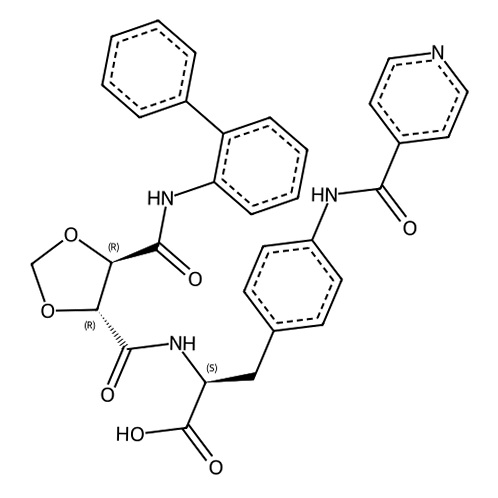 O=C(Nc1ccc(C[C@H](NC(=O)[C@@H]2OCO[C@H]2C(=O)Nc2ccccc2-c2ccccc2)C(=O)O)cc1)c1ccncc1